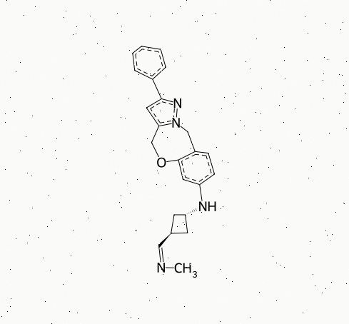 C/N=C\[C@H]1C[C@H](Nc2ccc3c(c2)OCc2cc(-c4ccccc4)nn2C3)C1